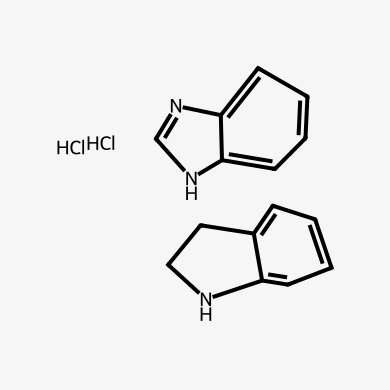 Cl.Cl.c1ccc2[nH]cnc2c1.c1ccc2c(c1)CCN2